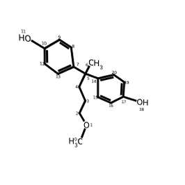 COCCCC(C)(c1ccc(O)cc1)c1ccc(O)cc1